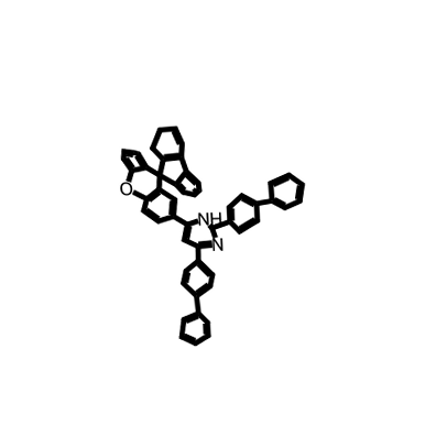 C1=CC2=C(CC1)C1(c3ccccc3Oc3ccc(C4=CC(c5ccc(-c6ccccc6)cc5)=NC(c5ccc(-c6ccccc6)cc5)N4)cc31)c1ccccc12